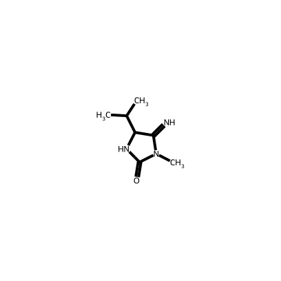 CC(C)C1NC(=O)N(C)C1=N